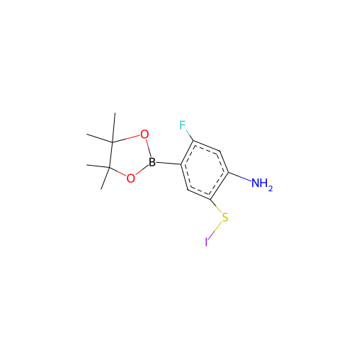 CC1(C)OB(c2cc(SI)c(N)cc2F)OC1(C)C